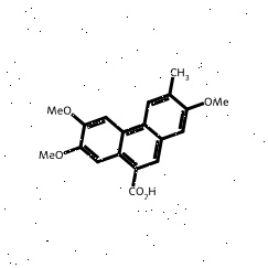 COc1cc2cc(C(=O)O)c3cc(OC)c(OC)cc3c2cc1C